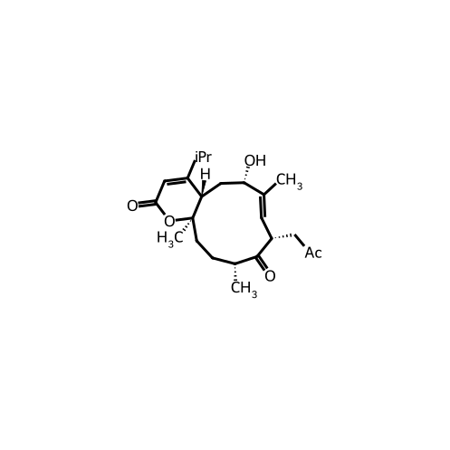 CC(=O)C[C@H]1/C=C(\C)[C@@H](O)C[C@H]2C(C(C)C)=CC(=O)O[C@]2(C)CC[C@@H](C)C1=O